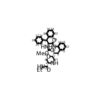 CCNC(=O)[C@@H]1CO[C@H](CCc2ccccc2NC(=O)C(NC(=O)OC)C(c2ccccc2)c2ccccc2)CN1